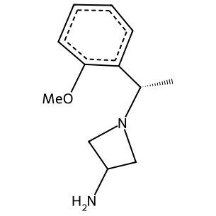 COc1ccccc1[C@H](C)N1CC(N)C1